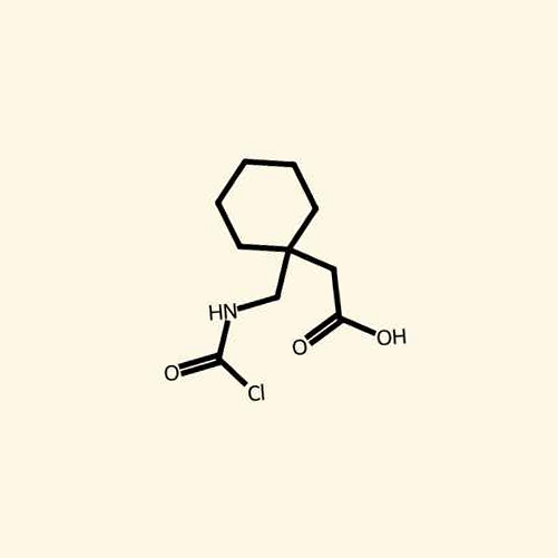 O=C(O)CC1(CNC(=O)Cl)CCCCC1